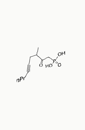 CCCC#CCC(C)C(=O)CP(=O)(O)O